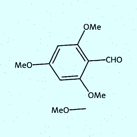 COC.COc1cc(OC)c(C=O)c(OC)c1